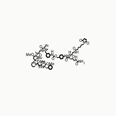 CC[C@H](C)C([C@@H](CC(=O)N1CCCC[C@H]1[C@H](OC)[C@@H](C)C(=O)N[C@@H](Cc1ccccc1)C(=O)OC)OC)N(C)C(=O)CNC(=O)C(C(C)C)N(C)Cc1cccc(NC(=O)OCc2ccc(NC(=O)[C@H](CCCNC(N)=O)NC(=O)CNC(=O)CCCCCN3C(=O)C=CC3=O)cc2)c1